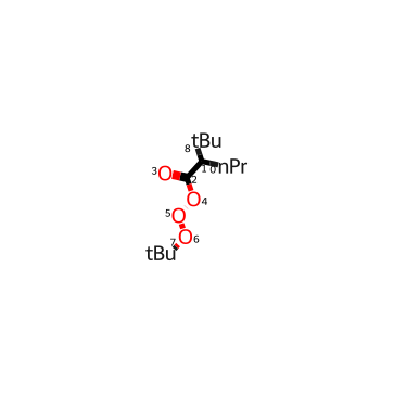 CCCC(C(=O)OOOC(C)(C)C)C(C)(C)C